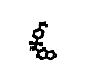 Nc1ccc(S(=O)(=O)Nc2ncc3c(n2)COC3)cc1